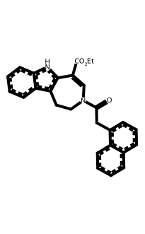 CCOC(=O)C1=CN(C(=O)Cc2cccc3ccccc23)CCc2c1[nH]c1ccccc21